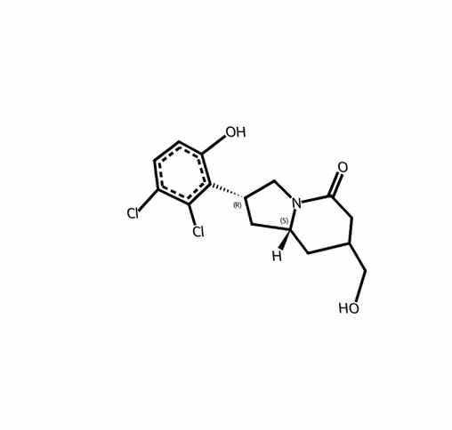 O=C1CC(CO)C[C@@H]2C[C@H](c3c(O)ccc(Cl)c3Cl)CN12